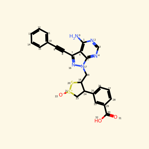 Nc1ncnc2c1c(C#Cc1ccccc1)nn2CC1S[S+]([O-])CC1c1cccc(C(=O)O)c1